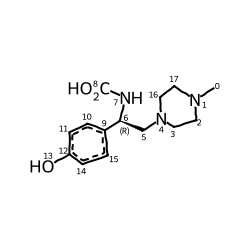 CN1CCN(C[C@H](NC(=O)O)c2ccc(O)cc2)CC1